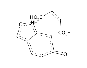 O=C(O)/C=C\C(=O)O.O=c1ccc2co[nH]c-2c1